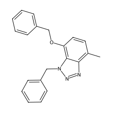 Cc1ccc(OCc2ccccc2)c2c1nnn2Cc1ccccc1